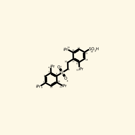 CC(C)c1cc(C(C)C)c(S(=O)(=O)CCc2c(C(C)C)cc(S(=O)(=O)O)cc2C(C)C)c(C(C)C)c1